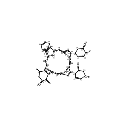 C=C1C(=O)CC(C)c2c1c1cc3nc(cc4[nH]c(cc4C4C=CC(C)C(=O)C4)nc4nc(nc2[nH]1)C1=C4C2C=CC1C(=O)C2)C(C1C=CC(C)CC1=O)=C3